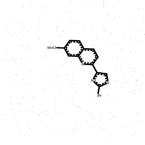 COc1ccc2[c]cc(-c3csc(C(C)C)n3)nc2c1